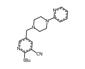 CC(C)(C)c1ncc(CN2CCN(c3ccccn3)CC2)cc1C#N